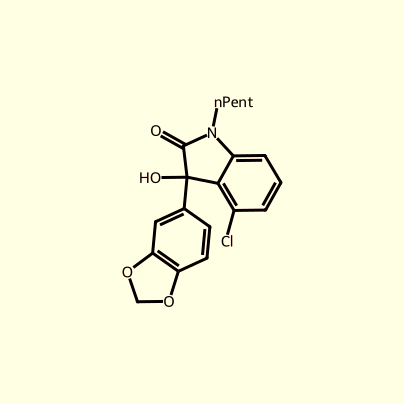 CCCCCN1C(=O)C(O)(c2ccc3c(c2)OCO3)c2c(Cl)cccc21